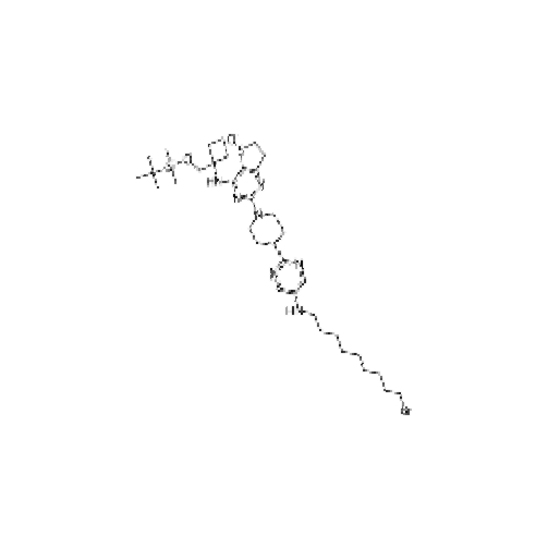 CC(C)(C)[Si](C)(C)OCC1(Nc2nc(N3CCC(c4ncc(NCCCCCCCCCBr)cn4)CC3)nc3c2[S@+]([O-])CC3)CCC1